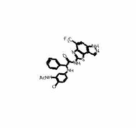 CC(=O)Nc1cc(NC(C(=O)Nc2nc3c(C(F)(F)F)cc4[nH]ncc4c3s2)c2ccccc2)ccc1Cl